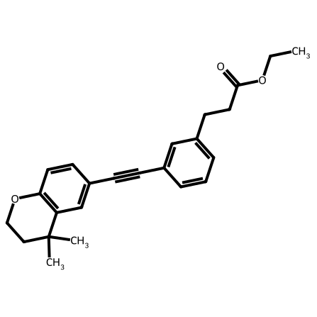 CCOC(=O)CCc1cccc(C#Cc2ccc3c(c2)C(C)(C)CCO3)c1